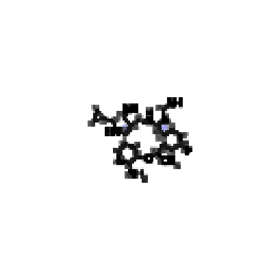 C[C@H]1Oc2cc(cnc2N)/C(NCC2CC2)=C(/C=N)CN/C(=N\C=N)c2ccc(F)cc21